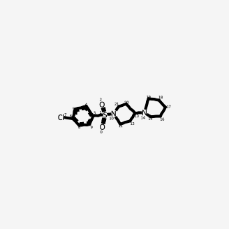 O=S(=O)(c1ccc(Cl)cc1)N1CCC(N2CCCCC2)CC1